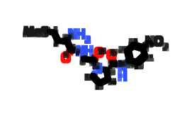 CSCC[C@H](N)C(=O)NCC(=O)N1CCC[C@H]1C(=O)Nc1ccc([N+](=O)[O-])cc1